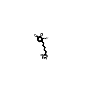 CCCc1c(CCCCCc2nnn[nH]2)ccc(Cl)c1Cl